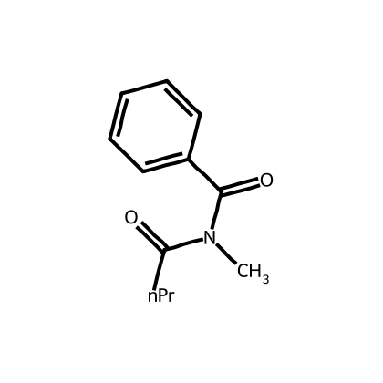 CCCC(=O)N(C)C(=O)c1ccccc1